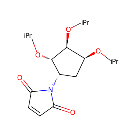 CC(C)O[C@@H]1[C@@H](OC(C)C)[C@@H](N2C(=O)C=CC2=O)C[C@@H]1OC(C)C